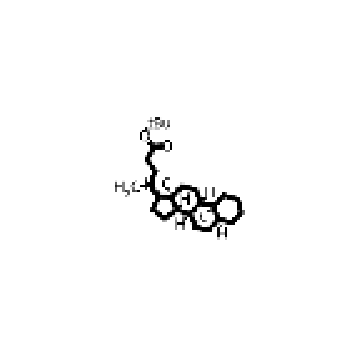 C[C@H](CCC(=O)OC(C)(C)C)C1CC[C@H]2[C@@H]3CC[C@@H]4CCCC[C@]4(C)[C@H]3CC[C@]12C